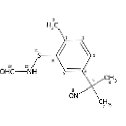 Cc1ccc(C(C)(C)N=O)cc1SNC=O